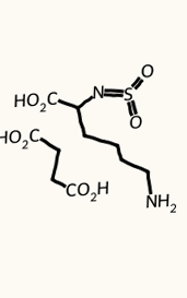 NCCCCC(N=S(=O)=O)C(=O)O.O=C(O)CCC(=O)O